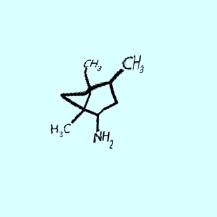 CC1CC(N)C2(C)CC12C